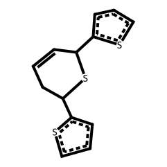 C1=CC(c2cccs2)SC(c2cccs2)C1